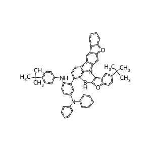 CC(C)(C)c1ccc(Nc2ccc(N(c3ccccc3)c3ccccc3)cc2-c2ccc3c4cc5c(cc4n4c3c2Bc2oc3ccc(C(C)(C)C)cc3c2-4)oc2ccccc25)cc1